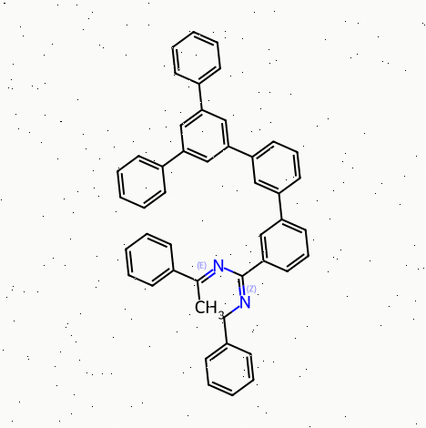 C/C(=N\C(=N/Cc1ccccc1)c1cccc(-c2cccc(-c3cc(-c4ccccc4)cc(-c4ccccc4)c3)c2)c1)c1ccccc1